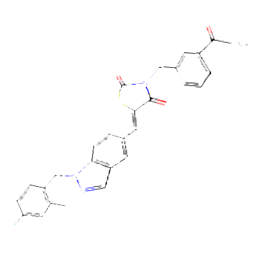 COC(=O)c1cccc(CN2C(=O)S/C(=C\c3ccc4c(cnn4Cc4ccc(Cl)cc4C(F)(F)F)c3)C2=O)c1